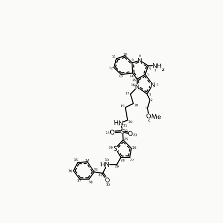 COCCc1nc2c(N)nc3ccccc3c2n1CCCCNS(=O)(=O)c1ccc(CNC(=O)c2ccccc2)s1